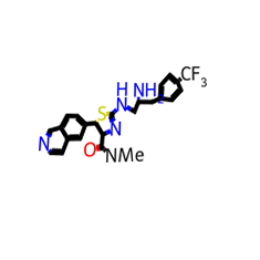 CNC(=O)C1N=C(NC[C@@H](N)Cc2ccc(C(F)(F)F)cc2)SC1c1ccc2cnccc2c1